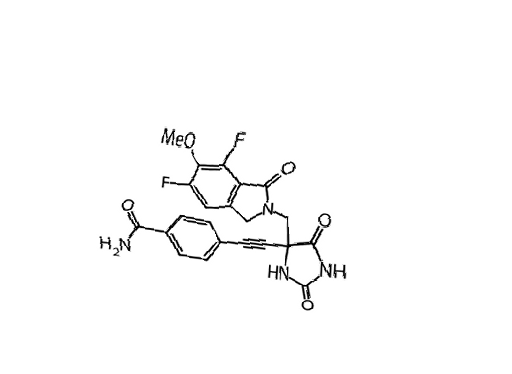 COc1c(F)cc2c(c1F)C(=O)N(CC1(C#Cc3ccc(C(N)=O)cc3)NC(=O)NC1=O)C2